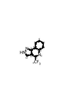 FC(F)(F)c1nc2ccccc2c2n[nH]cc12